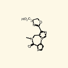 CN1Cc2c(C3=N[C@H](C(=O)O)CO3)ncn2-c2ccsc2C1=O